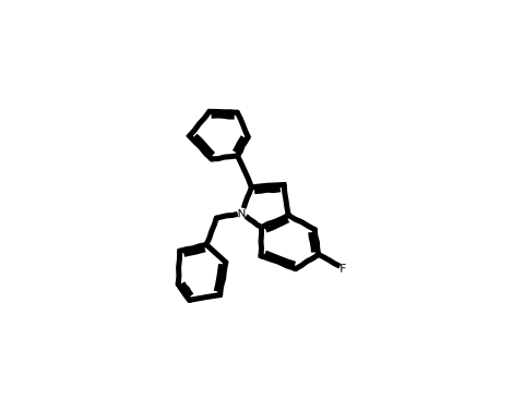 Fc1ccc2c(c1)cc(-c1ccccc1)n2Cc1ccccc1